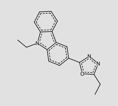 CCc1nnc(-c2ccc3c(c2)c2ccccc2n3CC)o1